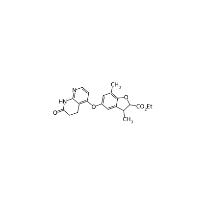 CCOC(=O)C1Oc2c(C)cc(Oc3ccnc4c3CCC(=O)N4)cc2C1C